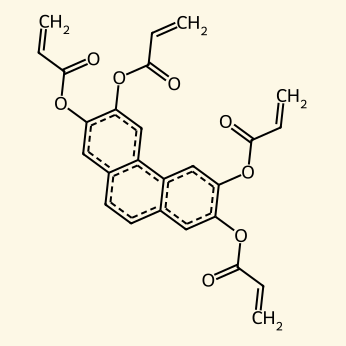 C=CC(=O)Oc1cc2ccc3cc(OC(=O)C=C)c(OC(=O)C=C)cc3c2cc1OC(=O)C=C